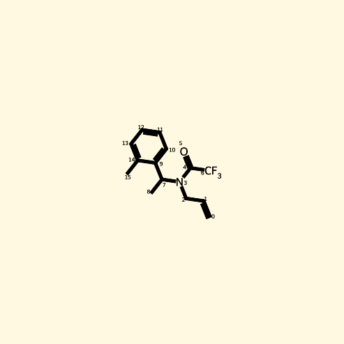 C=CCN(C(=O)C(F)(F)F)C(C)c1ccccc1C